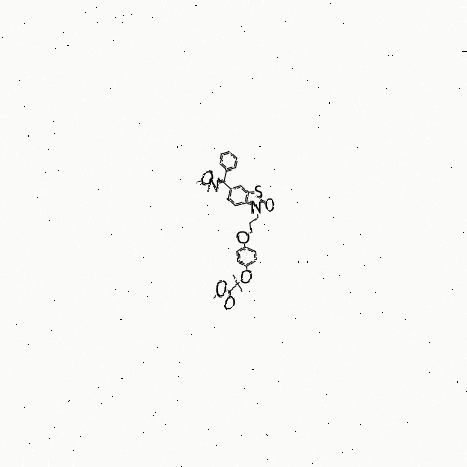 CO/N=C(\c1ccccc1)c1ccc2c(c1)sc(=O)n2CCCOc1ccc(OC(C)(C)C(=O)OC)cc1